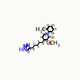 COc1c(CCCCCc2c[nH]nn2)ccn(-c2ccccc2C)c1=S